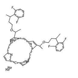 CC(OCCC(C)c1c(F)cccc1F)C1=Cc2cc3[nH]c(cc4nc(cc5ccc(cc1n2)[nH]5)C=C4)cc3C(C)OCCC(C)c1c(F)cccc1F.[Na].[Na]